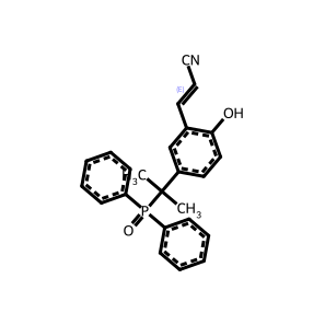 CC(C)(c1ccc(O)c(/C=C/C#N)c1)P(=O)(c1ccccc1)c1ccccc1